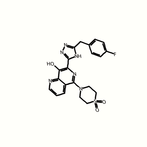 O=S1(=O)CCN(c2nc(-c3nnc(Cc4ccc(F)cc4)[nH]3)c(O)c3ncccc23)CC1